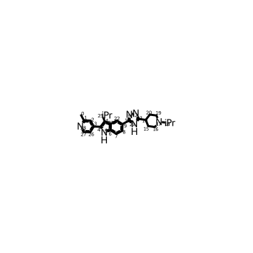 Cc1cc(-c2[nH]c3ccc(-c4nnc(C5CCN(C(C)C)CC5)[nH]4)cc3c2C(C)C)ccn1